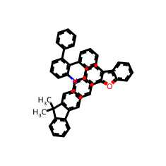 CC1(C)c2ccccc2-c2ccc(N(c3ccc4c(c3)oc3ccccc34)c3cccc(-c4ccccc4)c3-c3ccccc3-c3ccccc3)cc21